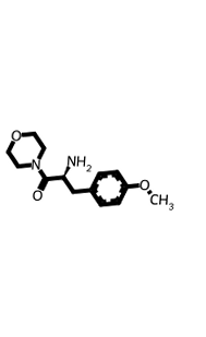 COc1ccc(C[C@H](N)C(=O)N2CCOCC2)cc1